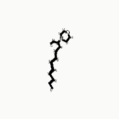 CCCCCCCCCC(CC)N1CCOCC1